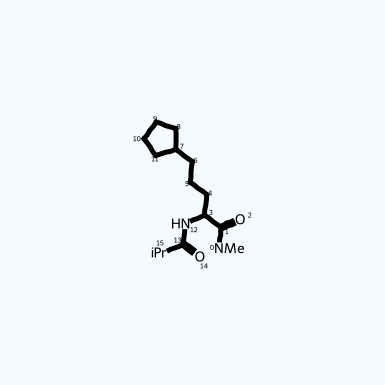 CNC(=O)C(CCCC1CCCC1)NC(=O)C(C)C